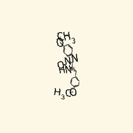 COc1ccc(C[C@H]2NC(=O)n3c2nc2ccc(OC)cc23)cc1